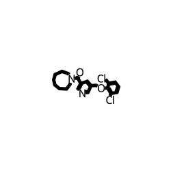 O=C(c1cncc(COc2c(Cl)cccc2Cl)c1)N1CCCCCCCC1